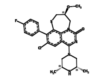 CO[C@@H]1CSc2c(-c3ccc(F)cc3)c(Cl)cc3c(N4C[C@@H](C)N[C@@H](C)C4)nc(=O)n(c23)C1